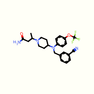 CC(CC(N)=O)N1CCC(N(Cc2cccc(C#N)c2)c2ccc(OC(F)(F)F)cc2)CC1